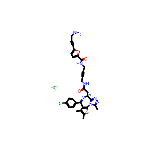 Cc1sc2c(c1C)C(c1ccc(Cl)cc1)=N[C@@H](CC(=O)NCC#CCNC(=O)c1ccc(C#CCN)o1)c1nnc(C)n1-2.Cl